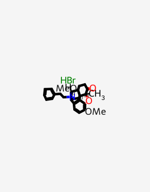 Br.COc1ccc2c3c1O[C@@]1(C)C(=O)CCC4(OC)[C@@H](C2)N(CCc2ccccc2)CC[C@@]341